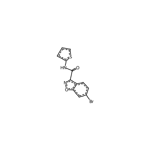 O=C(Nc1cccs1)c1noc2cc(Br)ccc12